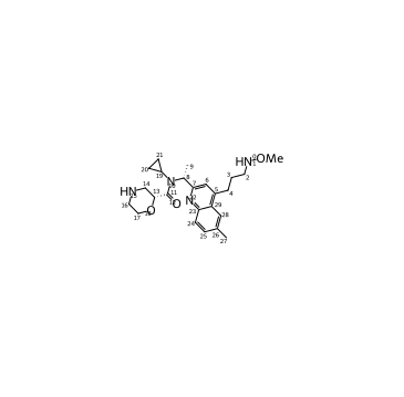 CONCCCc1cc([C@@H](C)N(C(=O)[C@H]2CNCCO2)C2CC2)nc2ccc(C)cc12